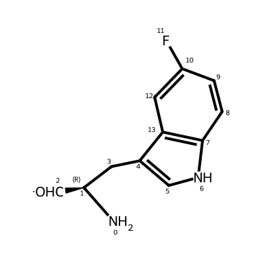 N[C@@H]([C]=O)Cc1c[nH]c2ccc(F)cc12